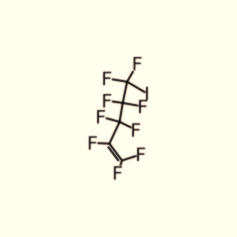 FC(F)=C(F)C(F)(F)C(F)(F)C(F)(F)I